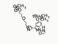 CC(C)(C)[Si](C)(C)Oc1ccc2c(c1)c(-c1cnn(CCCOCCCOS(C)(=O)=O)c1)nn2C1NCCO1